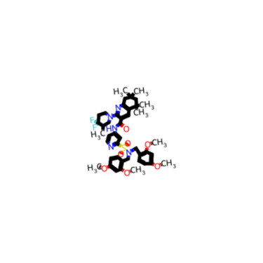 COc1ccc(CN(Cc2ccc(OC)cc2OC)S(=O)(=O)c2cc(NC(=O)c3cc4c(nc3N3CCC(F)(F)C(C)C3)CC(C)(C)CC4(C)C)ccn2)c(OC)c1